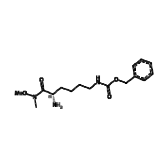 CON(C)C(=O)[C@@H](N)CCCCNC(=O)OCc1ccccc1